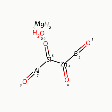 O.O=[B][Zn](=[O])[Si](=O)[Al]=[O].[MgH2]